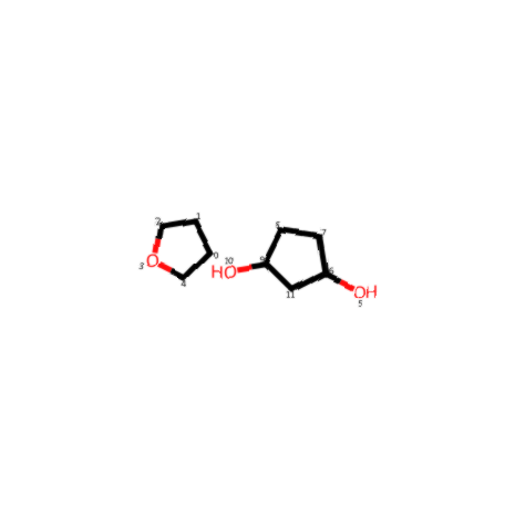 C1CCOC1.OC1CCC(O)C1